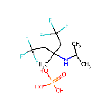 CC(C)NC(C)(CC(F)(F)F)CC(F)(F)F.O=P(O)(O)O